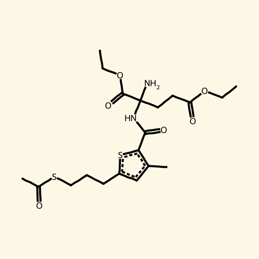 CCOC(=O)CCC(N)(NC(=O)c1sc(CCCSC(C)=O)cc1C)C(=O)OCC